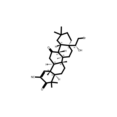 CC1(C)CC[C@]2([C@@H](O)CBr)CC[C@]3(C)[C@H](C(=O)C[C@@H]4[C@@]5(C)C=C(C#N)C(=O)C(C)(C)[C@@H]5CC[C@]43C)[C@@H]2C1